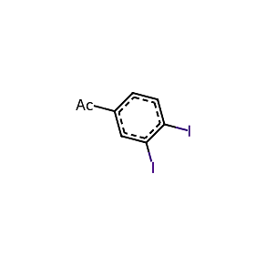 CC(=O)c1ccc(I)c(I)c1